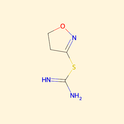 N=C(N)SC1=NOCC1